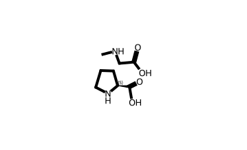 CNCC(=O)O.O=C(O)[C@@H]1CCCN1